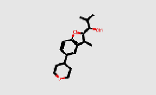 Cc1c(C(O)C(C)C)oc2ccc(C3CCOCC3)cc12